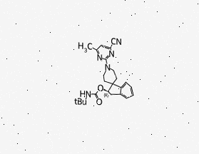 Cc1cc(C#N)nc(N2CCC3(CC2)c2ccccc2C[C@H]3OC(=O)NC(C)(C)C)n1